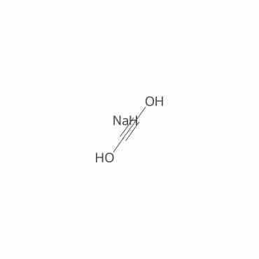 OC#CO.[NaH]